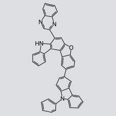 c1ccc(-n2c3ccccc3c3cc(-c4ccc5oc6cc(-c7cnc8ccccc8n7)c7[nH]c8ccccc8c7c6c5c4)ccc32)cc1